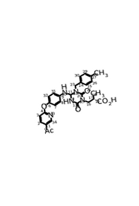 CC(=O)c1ccc(Oc2ccc(NC3NC(=O)N(C[C@H](C)C(=O)O)C(=O)N3Cc3ccc(C)cc3)cc2)nc1